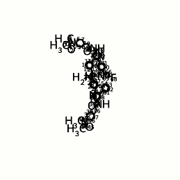 CC(=O)N(C)C1CCC(CC(=O)Nc2cc(-c3cccc(C4CC4(N)c4ccc(-c5nnc(NC(=O)C[C@H]6CC[C@H](N(C)C(C)=O)CC6)cc5-c5ccccc5)cc4)c3)c(-c3ccc([C@]4(N)C[C@H](F)C4)cc3)nn2)CC1